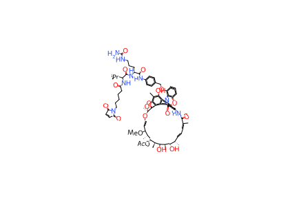 CO[C@H]1/C=C/O[C@@]2(C)Oc3c(C)c(O)c4c(=O)c(c5oc6cccc(OCc7ccc(NC(=O)[C@H](CCCNC(N)=O)NC(=O)C(NC(=O)CCCCCN8C(=O)C=CC8=O)C(C)C)cc7)c6nc-5c4c3C2=O)NC(=O)/C(C)=C\C=C\[C@H](C)[C@H](O)[C@@H](C)[C@@H](O)[C@@H](C)[C@H](OC(C)=O)[C@@H]1C